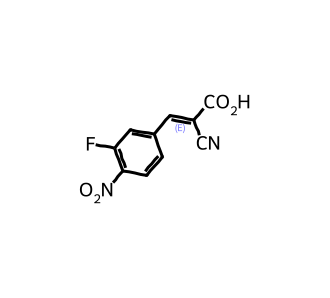 N#C/C(=C\c1ccc([N+](=O)[O-])c(F)c1)C(=O)O